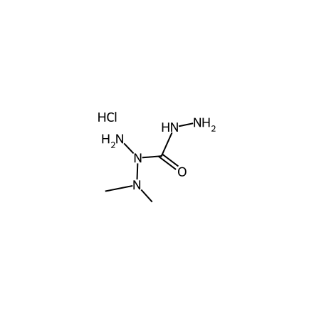 CN(C)N(N)C(=O)NN.Cl